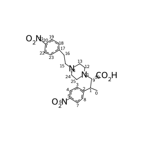 CC(c1ccc([N+](=O)[O-])cc1)[C@@H](C(=O)O)N1CCN(CCc2ccc([N+](=O)[O-])cc2)CC1